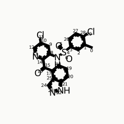 Cc1cc(S(=O)(=O)Nc2cc(Cl)cnc2C(=O)c2cccc3[nH]ncc23)ccc1Cl